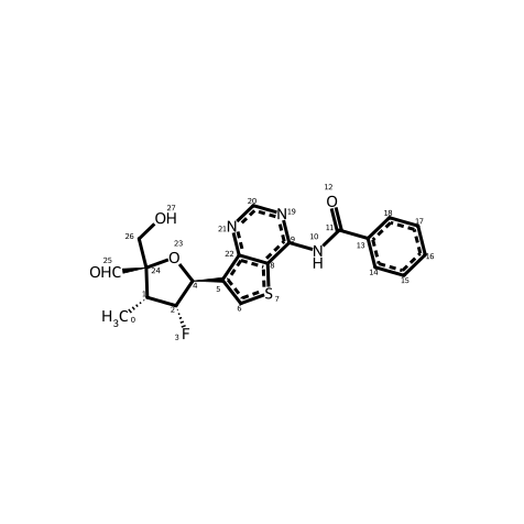 C[C@H]1[C@@H](F)[C@H](c2csc3c(NC(=O)c4ccccc4)ncnc23)O[C@@]1(C=O)CO